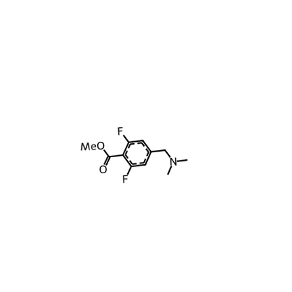 COC(=O)c1c(F)cc(CN(C)C)cc1F